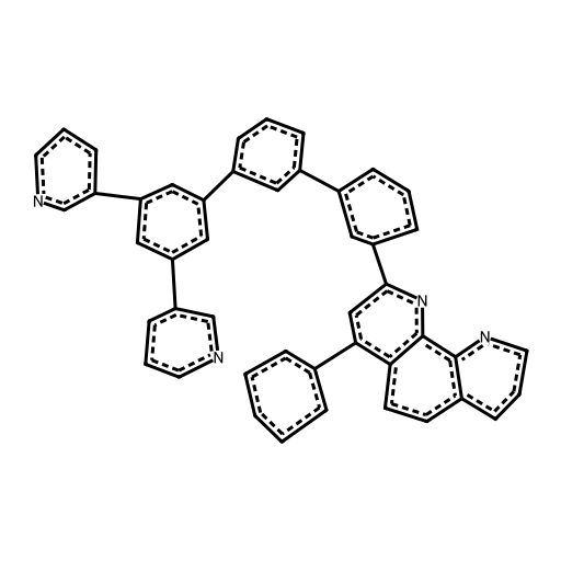 c1ccc(-c2cc(-c3cccc(-c4cccc(-c5cc(-c6cccnc6)cc(-c6cccnc6)c5)c4)c3)nc3c2ccc2cccnc23)cc1